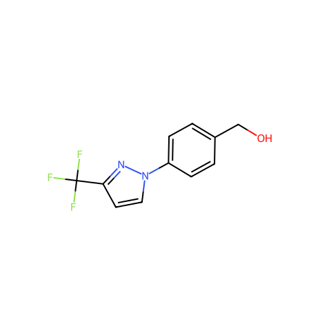 OCc1ccc(-n2ccc(C(F)(F)F)n2)cc1